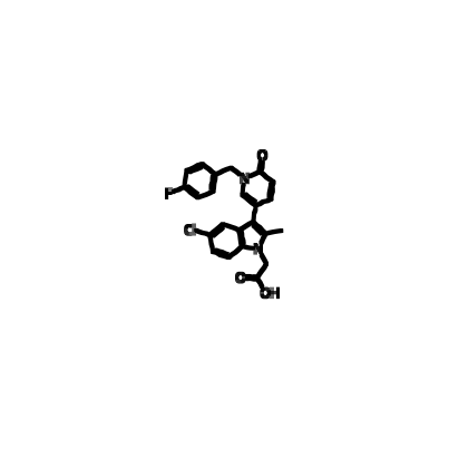 Cc1c(-c2ccc(=O)n(Cc3ccc(F)cc3)c2)c2cc(Cl)ccc2n1CC(=O)O